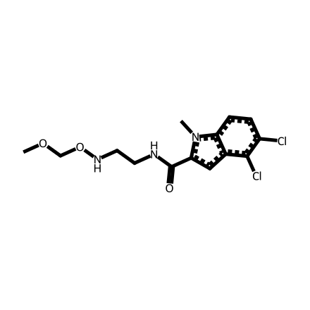 COCONCCNC(=O)c1cc2c(Cl)c(Cl)ccc2n1C